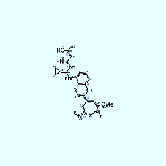 C=N/C(Oc1cccc(NC(NC(=N)/C=C(/C)O)=C2CC2)c1)=C1/C=C(OC)C(C)=C/C(=N/C)C1